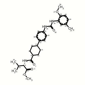 COC(=O)[C@@H](NC(=O)C1CCC(c2ccc(NC(=O)Nc3cc(C)ccc3OC)cc2)CC1)C(C)C